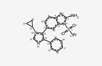 CC(C)S(=O)(=O)n1c(N)nc2ccc(-c3c(-c4ccccc4)ncn3C3CC3)cc21